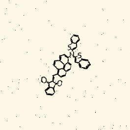 O=C1C(=Cc2ccc3ccc4c(N(c5cc6ccccc6s5)c5cc6ccccc6s5)ccc5ccc2c3c54)C(=O)c2ccccc21